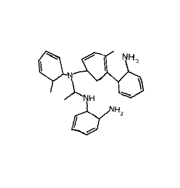 CC1=C(C2C=CC=CC2N)CC(N(C(C)NC2C=CC=CC2N)C2C=CC=CC2C)C=C1